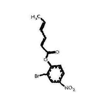 CC=CC=CC(=O)Oc1ccc([N+](=O)[O-])cc1Br